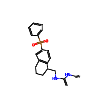 C=C(NCCC)NCC1CCCc2cc(S(=O)(=O)c3ccccc3)ccc21